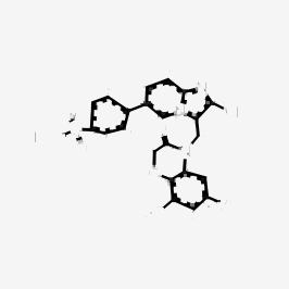 Cc1nc2ccc(-c3ccc(S(C)(=O)=O)cc3)cn2c1CN1C(=O)COc2c(F)cc(Br)cc21